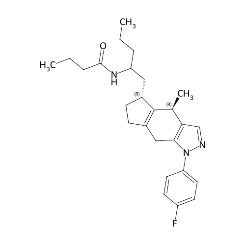 CCCC(=O)NC(CCC)C[C@H]1CCC2=C1[C@@H](C)c1cnn(-c3ccc(F)cc3)c1C2